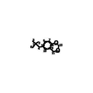 CC(C)(C)Cc1ccc2c(c1)COCO2